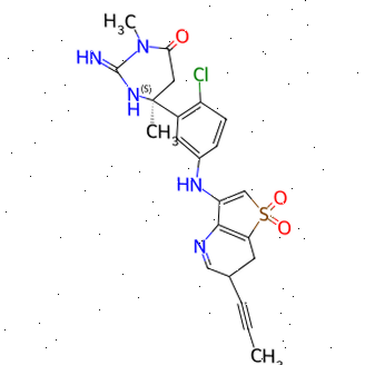 CC#CC1C=NC2=C(C1)S(=O)(=O)C=C2Nc1ccc(Cl)c([C@]2(C)CC(=O)N(C)C(=N)N2)c1